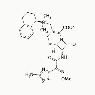 CON=C(C(=O)N[C@@H]1C(=O)N2C(C(=O)[O-])=C(C[N+](C)(C)[C@@H]3CCCc4ccccc43)CS[C@H]12)c1csc(N)n1